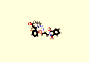 COC(=O)c1sc2cccc(OCCCN3C(=O)c4ccccc4C3=O)c2c1N